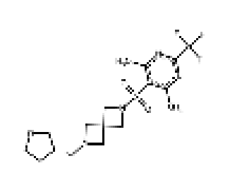 Cc1nc(C(F)(F)F)nc(C)c1S(=O)(=O)N1CC2(CN(C[C@@H]3CCOC3)C2)C1